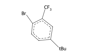 CC(C)(C)c1ccc(Br)c(C(F)(F)F)c1